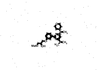 CNCC(O)COc1cccc(-c2nc(N(C)C)cc(N(C)C3CCOCC3)n2)c1